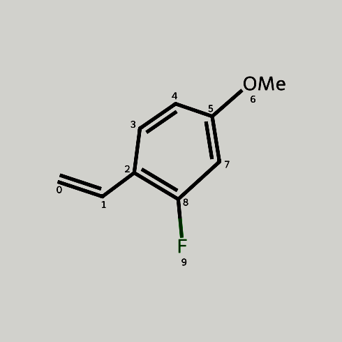 C=Cc1ccc(OC)cc1F